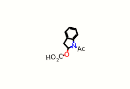 CC(=O)N1c2ccccc2CC1OC(=O)O